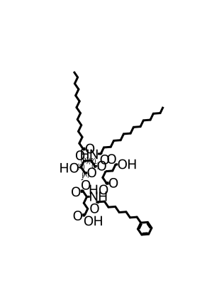 CCCCCCCCCCCCCC(=O)N[C@H]1[C@@H](OC(CC(=O)O)CC(=O)O)O[C@H](COC(=O)C(CCC(=O)O)NC(=O)CCCCCCCc2ccccc2)[C@@H](O)[C@@H]1OC(=O)CCCCCCCCCCCCC